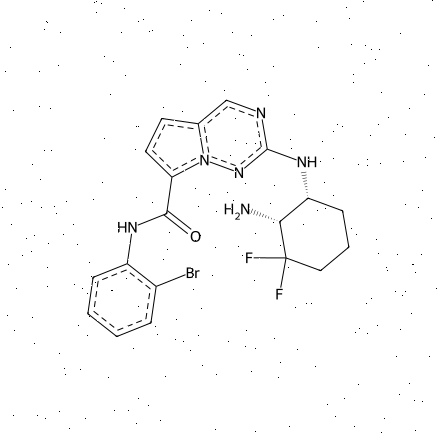 N[C@@H]1[C@H](Nc2ncc3ccc(C(=O)Nc4ccccc4Br)n3n2)CCCC1(F)F